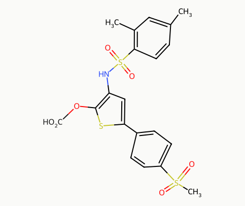 Cc1ccc(S(=O)(=O)Nc2cc(-c3ccc(S(C)(=O)=O)cc3)sc2OC(=O)O)c(C)c1